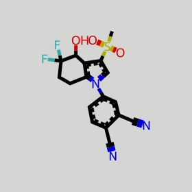 CS(=O)(=O)c1cn(-c2ccc(C#N)c(C#N)c2)c2c1C(O)C(F)(F)CC2